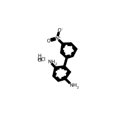 Cl.Cl.Nc1ccc(N)c(-c2cccc([N+](=O)[O-])c2)c1